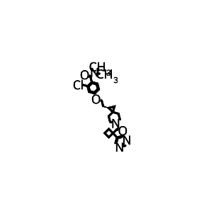 CN(C)C(=O)c1ccc(OCC[C@H]2CC23CCN(C(=O)C2(c4cncnc4)CCC2)CC3)cc1Cl